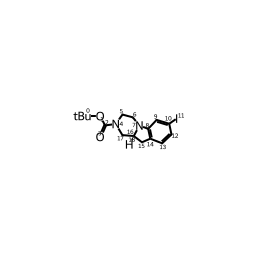 CC(C)(C)OC(=O)N1CCN2c3cc(I)ccc3C[C@H]2C1